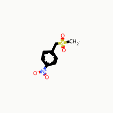 [CH2]S(=O)(=O)Cc1ccc([N+](=O)[O-])cc1